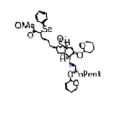 CCCCC[C@@H](/C=C/[C@@H]1[C@H]2CC(CCCC([Se]c3ccccc3)C(=O)OC)[S+]([O-])[C@@H]2C[C@H]1OC1CCCCO1)OC1CCCCO1